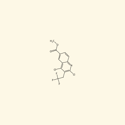 COC(=O)c1ccc2nc(Cl)c(CC(F)(F)F)c(Cl)c2c1